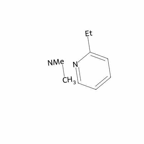 CCc1ccccn1.CNC